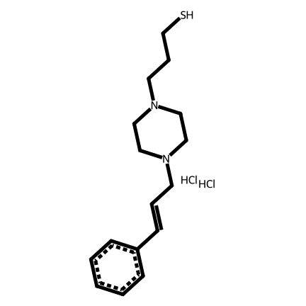 Cl.Cl.SCCCN1CCN(C/C=C/c2ccccc2)CC1